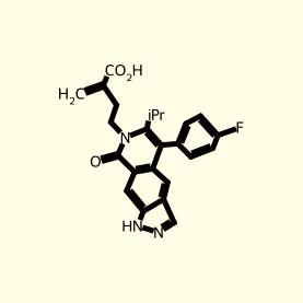 C=C(CCn1c(C(C)C)c(-c2ccc(F)cc2)c2cc3cn[nH]c3cc2c1=O)C(=O)O